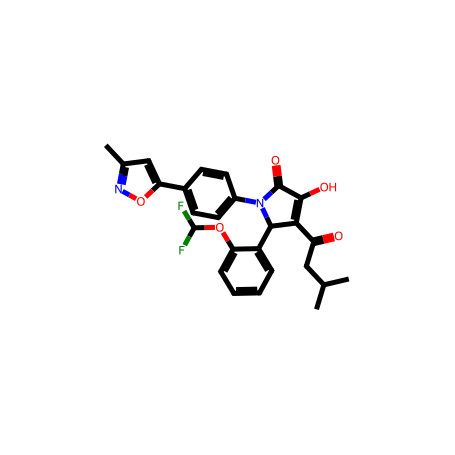 Cc1cc(-c2ccc(N3C(=O)C(O)=C(C(=O)CC(C)C)C3c3ccccc3OC(F)F)cc2)on1